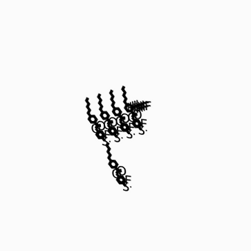 CCCCCCC1CCC(C(=O)Oc2ccc([S])c(F)c2)CC1.CCCCCCC1CCC(C(=O)Oc2ccc([S])c(F)c2)CC1.CCCCCCC1CCC(C(=O)Oc2ccc([S])c(F)c2)CC1.CCCCCCC1CCC(C(=O)Oc2ccc([S])c(F)c2)CC1.CCCCCCC1CCC(C(=O)Oc2ccc([S])c(F)c2)CC1.F.F.F.F.F